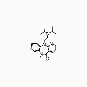 CC(C)N(CCN1c2ccccc2N(C)C(=O)c2cccnc21)C(C)C